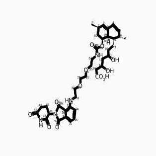 C[C@H]1C=C2C=C[C@H](C)[C@H](CCC(O)CC(O)CC(=O)O)[C@H]2[C@@H](OC(=O)NCCOCCOCCNc2cccc3c2C(=O)N(C2CCC(=O)NC2=O)C3=O)C1